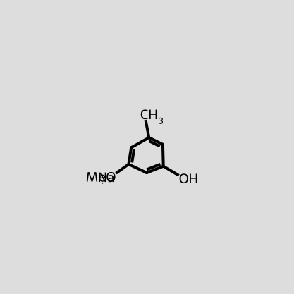 COc1cc(C)cc(O)c1.[Na]